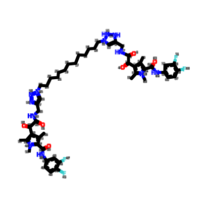 Cc1c(C(=O)C(=O)NCC2=CN(CCCCCCCCCCCCCn3cc(CNC(=O)C(=O)c4c(C)c(C(=O)Nc5ccc(F)c(F)c5)n(C)c4C)nn3)NN2)c(C)n(C)c1C(=O)Nc1ccc(F)c(F)c1